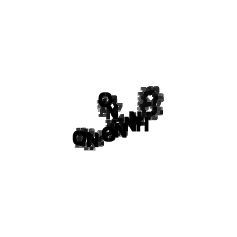 C(=NNc1cc(N2CCOCC2)cc(OCCN2CCOCC2)n1)c1ccc2ccccc2c1